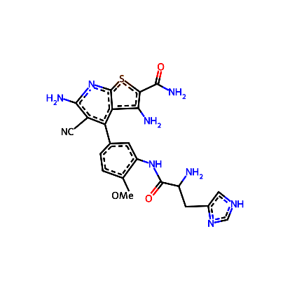 COc1ccc(-c2c(C#N)c(N)nc3sc(C(N)=O)c(N)c23)cc1NC(=O)C(N)Cc1c[nH]cn1